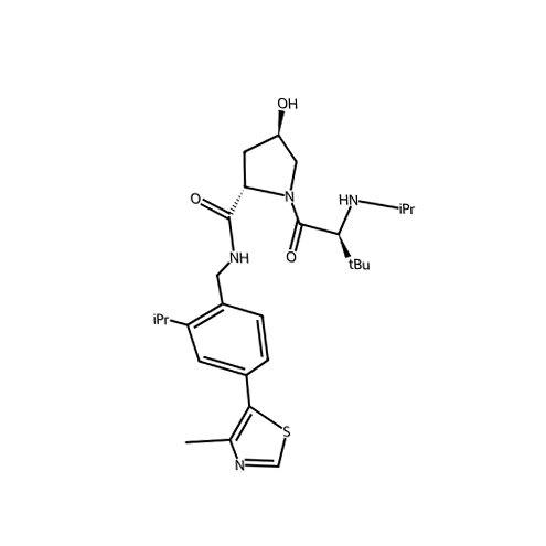 Cc1ncsc1-c1ccc(CNC(=O)[C@@H]2C[C@@H](O)CN2C(=O)[C@@H](NC(C)C)C(C)(C)C)c(C(C)C)c1